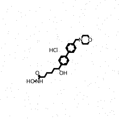 Cl.O=C(CCCC[C@@H](O)c1ccc(-c2ccc(CN3CCOCC3)cc2)cc1)NO